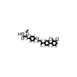 CCO[C@@H](Cc1ccc(OC/C=C(\C)c2ccc(-c3cccc(Cl)c3Cl)cc2)cc1)C(=O)O